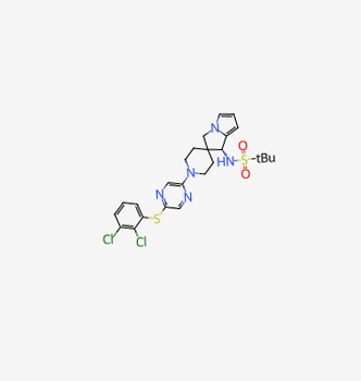 CC(C)(C)S(=O)(=O)N[C@@H]1c2cccn2CC12CCN(c1cnc(Sc3cccc(Cl)c3Cl)cn1)CC2